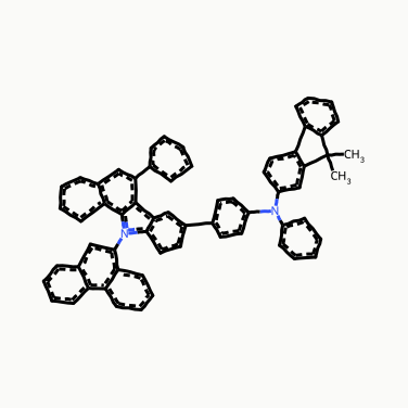 CC1(C)c2ccccc2-c2ccc(N(c3ccccc3)c3ccc(-c4ccc5c(c4)c4c(-c6ccccc6)cc6ccccc6c4n5-c4cc5ccccc5c5ccccc45)cc3)cc21